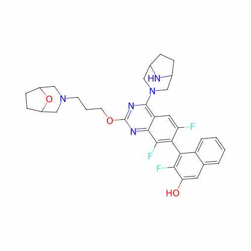 Oc1cc2ccccc2c(-c2c(F)cc3c(N4CC5CCC(C4)N5)nc(OCCCN4CC5CCC(C4)O5)nc3c2F)c1F